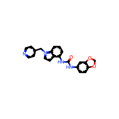 O=C(Nc1ccc2c(c1)OCO2)Nc1cccc2c1ccn2Cc1ccncc1